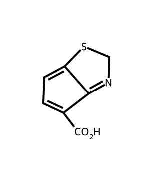 O=C(O)C1=CC=C2SCN=C21